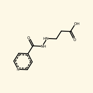 O=C(O)CCNNC(=O)c1ccncc1